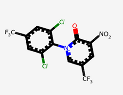 O=c1c([N+](=O)[O-])cc(C(F)(F)F)cn1-c1c(Cl)cc(C(F)(F)F)cc1Cl